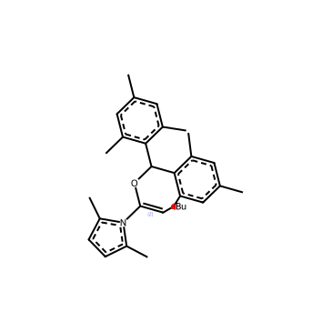 Cc1cc(C)c(C(O/C(=C\C(C)(C)C)n2c(C)ccc2C)c2c(C)cc(C)cc2C)c(C)c1